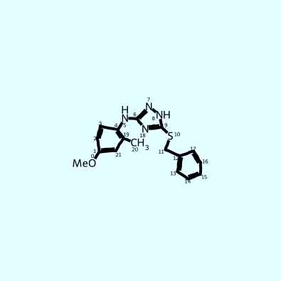 COc1ccc(Nc2n[nH]c(SCc3ccccc3)n2)c(C)c1